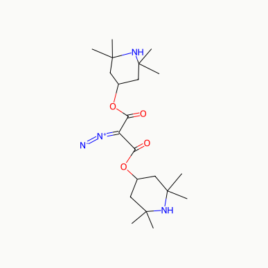 CC1(C)CC(OC(=O)C(=[N+]=[N-])C(=O)OC2CC(C)(C)NC(C)(C)C2)CC(C)(C)N1